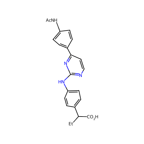 CCC(C(=O)O)c1ccc(Nc2nccc(-c3ccc(NC(C)=O)cc3)n2)cc1